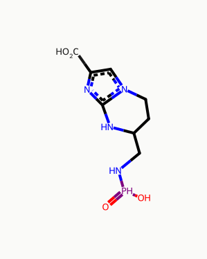 O=C(O)c1cn2c(n1)NC(CN[PH](=O)O)CC2